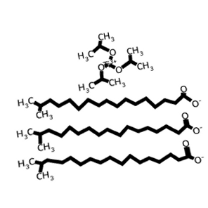 CC(C)CCCCCCCCCCCCCCC(=O)[O-].CC(C)CCCCCCCCCCCCCCC(=O)[O-].CC(C)CCCCCCCCCCCCCCC(=O)[O-].CC(C)[O][Ti+3]([O]C(C)C)[O]C(C)C